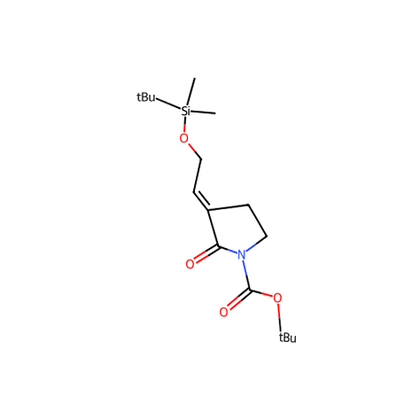 CC(C)(C)OC(=O)N1CC/C(=C\CO[Si](C)(C)C(C)(C)C)C1=O